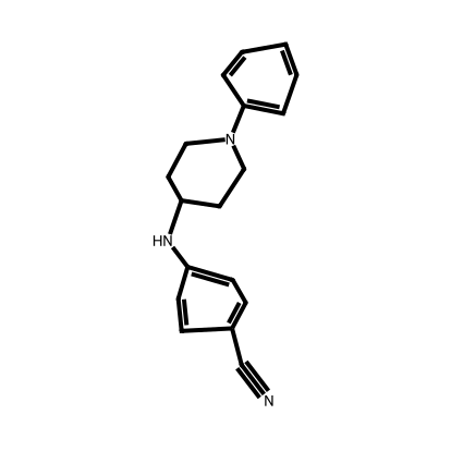 N#Cc1ccc(NC2CCN(c3ccccc3)CC2)cc1